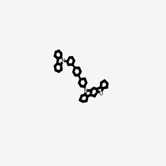 c1cc(-c2ccc(-c3ccc(-n4c5ccccc5c5cc6oc7ccccc7c6cc54)cc3)cc2)cc(-n2c3ccccc3c3ccccc32)c1